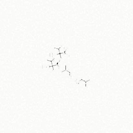 CC(C)C(C)(O)C(=O)[O-].CC(C)C(C)(O)C(=O)[O-].CC(C)C[O][Ti+2][O]CC(C)C